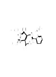 CCCOc1ccccc1-c1nc2c(C(=O)O)nn(C)c2c(=O)[nH]1